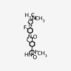 CCn1c(-c2ccc3c(c2)CCN(c2ccc(N4CC[C@@H](N(C)C)C4)c(F)c2)C3=O)c[nH]c1=O